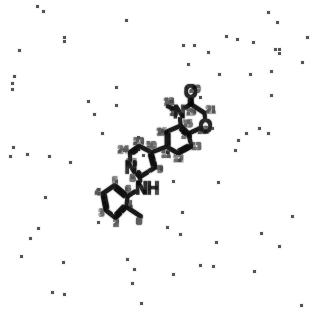 Cc1ccccc1Nc1cc(-c2ccc3c(c2)N(C)C(=O)CO3)ccn1